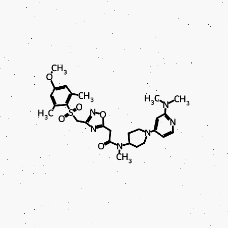 COc1cc(C)c(S(=O)(=O)Cc2noc(CC(=O)N(C)C3CCN(c4ccnc(N(C)C)c4)CC3)n2)c(C)c1